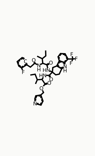 CCC(C)C(NC(=O)Cc1ccccc1F)C(=O)NC1(C(=O)NC(C(=O)OCc2ccncc2)C(C)CC)CCc2[nH]c3c(C(F)(F)F)cccc3c2C1